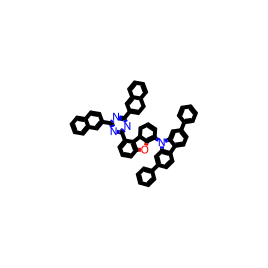 C1=CC2=CC(c3nc(-c4ccc5ccccc5c4)nc(-c4cccc5c4C4CC=CC(n6c7cc(-c8ccccc8)ccc7c7ccc(-c8ccccc8)cc76)=C4O5)n3)=CCC2C=C1